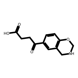 O=C(O)CCC(=O)c1ccc2c(c1)CNCO2